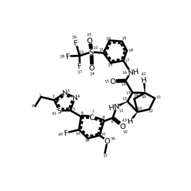 CCc1nnc(-c2cc(C(=O)N[C@H]3C(C(=O)Nc4cccc(S(=O)(=O)C(F)(F)F)c4)[C@@H]4CC[C@H]3C4)c(OC)cc2F)s1